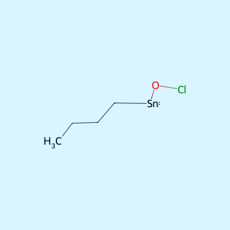 CCC[CH2][Sn][O]Cl